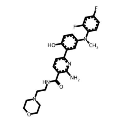 CN(c1ccc(O)c(-c2ccc(C(=O)NCCN3CCOCC3)c(N)n2)c1)c1ccc(F)cc1F